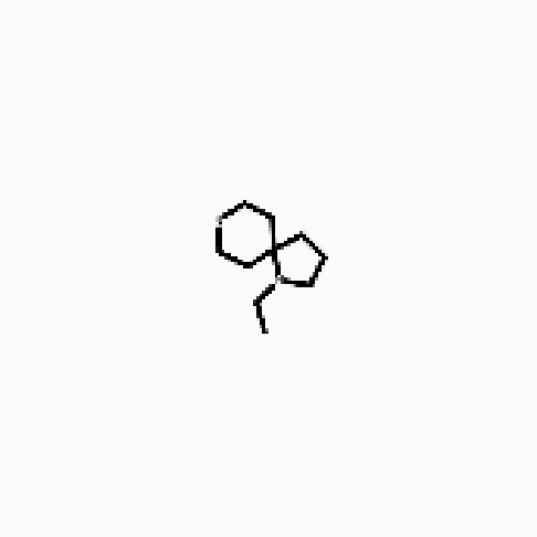 CCN1CCCC12CC[N]CC2